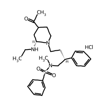 CCN[C@@H]1CC(C(C)=O)CCN1CC[C@@H](CN(C)S(=O)(=O)c1ccccc1)c1ccccc1.Cl